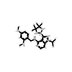 COc1ccc(CNc2nccc3c2c(B2OC(C)(C)C(C)(C)O2)nn3C(C)C)c(OC)c1